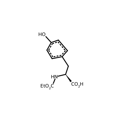 CCOC(=O)N[C@@H](Cc1ccc(O)cc1)C(=O)O